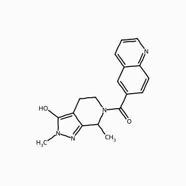 CC1c2nn(C)c(O)c2CCN1C(=O)c1ccc2ncccc2c1